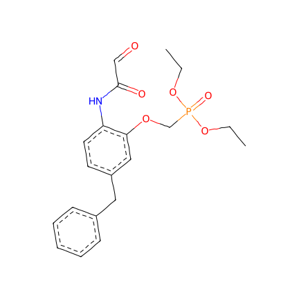 CCOP(=O)(COc1cc(Cc2ccccc2)ccc1NC(=O)C=O)OCC